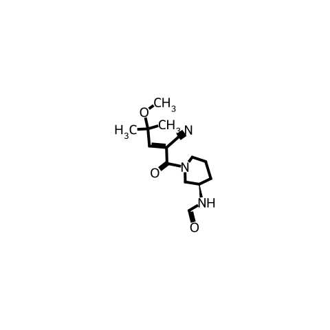 COC(C)(C)/C=C(\C#N)C(=O)N1CCC[C@@H](NC=O)C1